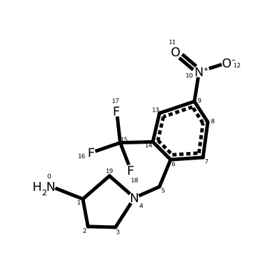 NC1CCN(Cc2ccc([N+](=O)[O-])cc2C(F)(F)F)C1